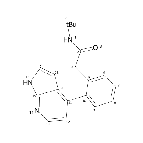 CC(C)(C)NC(=O)Cc1ccccc1-c1ccnc2[nH]ccc12